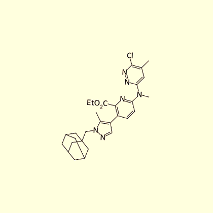 CCOC(=O)c1nc(N(C)c2cc(C)c(Cl)nn2)ccc1-c1cnn(CC23CC4CC(CC(C4)C2)C3)c1C